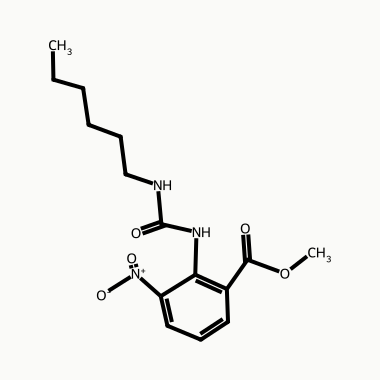 CCCCCCNC(=O)Nc1c(C(=O)OC)cccc1[N+](=O)[O-]